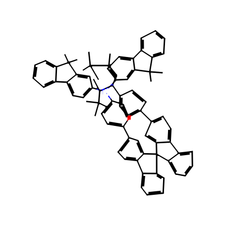 CC(CC(c1ccc(-c2ccc3c(c2)C2(c4ccccc4-3)c3ccccc3-c3ccc(-c4ccc(N(c5ccc6c(c5)C(C)(C)c5ccccc5-6)c5ccc6c(c5)C(C)(C)c5ccccc5-6)cc4)cc32)cc1)C(C)C(C)(C)C)C(C)(C)C